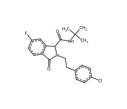 CC(C)(C)NC(=O)C1c2cc(F)ccc2C(=O)N1CCc1ccc(Cl)cc1